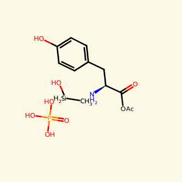 CC(=O)OC(=O)[C@@H](N)Cc1ccc(O)cc1.C[SiH2]O.O=P(O)(O)O